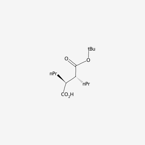 CCC[C@H](C(=O)O)[C@@H](CCC)C(=O)OC(C)(C)C